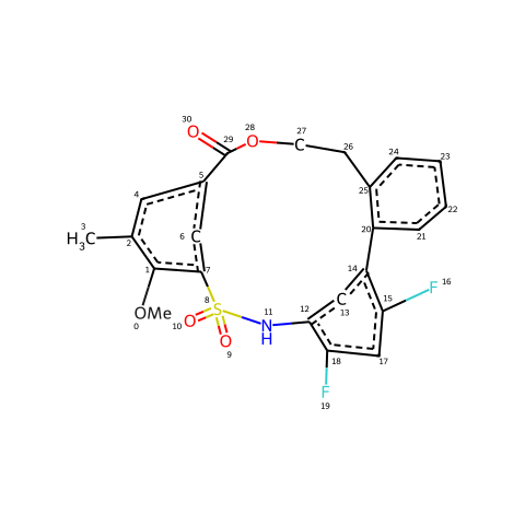 COc1c(C)cc2cc1S(=O)(=O)Nc1cc(c(F)cc1F)-c1ccccc1CCOC2=O